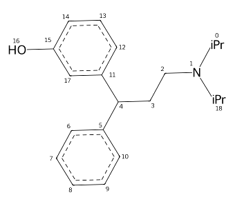 CC(C)N(CCC(c1ccccc1)c1cccc(O)c1)C(C)C